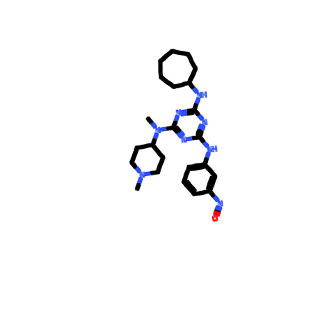 CN1CCC(N(C)c2nc(Nc3cccc(N=O)c3)nc(NC3CCCCCC3)n2)CC1